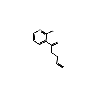 C=CCCC(=O)c1cccnc1Cl